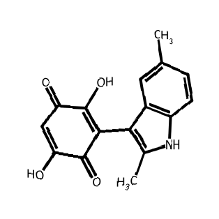 Cc1ccc2[nH]c(C)c(C3=C(O)C(=O)C=C(O)C3=O)c2c1